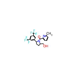 Cc1cccc(C(=O)N2C(CO)CCC2c2cc(C(F)(F)F)cc(C(F)(F)F)c2)n1